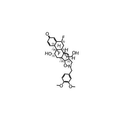 COc1ccc(CN2C[C@@H]3C[C@H]4[C@@H]5C[C@H](F)C6=CC(=O)C=C[C@]6(C)[C@@]5(F)[C@@H](O)C[C@]4(C)[C@]3(C(=O)CO)O2)cc1OC